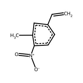 C=Cc1ccc([N+](=O)[O-])c(C)c1